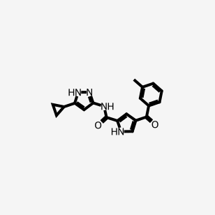 Cc1cccc(C(=O)c2c[nH]c(C(=O)Nc3cc(C4CC4)[nH]n3)c2)c1